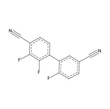 N#Cc1ccc(F)c(-c2ccc(C#N)c(F)c2F)c1